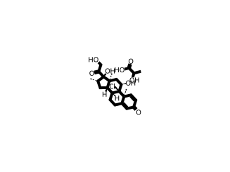 CC(O)C(=O)O.C[C@H]1C[C@H]2[C@@H]3CCC4=CC(=O)C=C[C@]4(C)[C@@]3(Cl)[C@@H](O)C[C@]2(C)[C@@]1(O)C(=O)CO